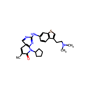 CN(C)CCc1csc2cc(Nc3ncc4cc(C#N)c(=O)n(C5CCCC5)c4n3)ccc12